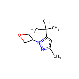 Cc1cc(C(C)(C)C)n(C2COC2)n1